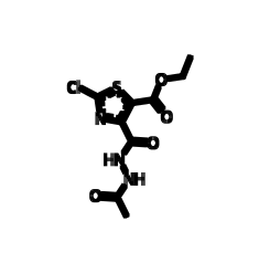 CCOC(=O)c1sc(Cl)nc1C(=O)NNC(C)=O